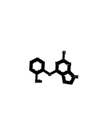 CSc1ccccc1Oc1nc(Cl)nc2[nH]ccc12